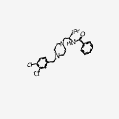 CC(C)C(CN1CCN(Cc2ccc(Cl)c(Cl)c2)CC1)NC(=O)c1ccccc1